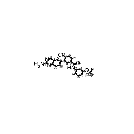 Nc1ncc2cc(-c3cc(C(=O)Nc4cccc(OC(F)(F)F)c4)ccc3Cl)ccc2n1